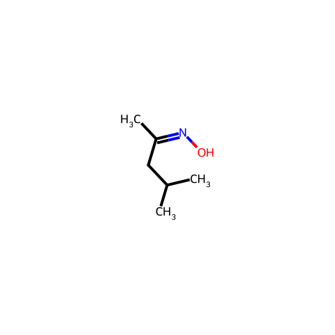 CC(CC(C)C)=NO